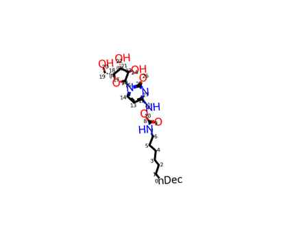 CCCCCCCCCCCCCCCCNC(=O)ONc1ccn([C@@H]2O[C@H](CO)[C@H](O)C2O)c(=O)n1